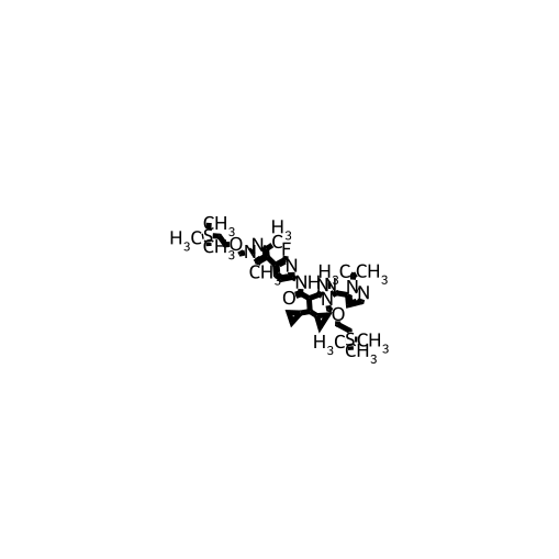 Cc1nn(COCCS(C)(C)C)c(C)c1-c1ccc(NC(=O)C(c2nnc(-c3ccnn3C(C)C)n2COCCS(C)(C)C)C(C2CC2)C2CC2)nc1F